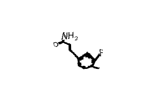 Cc1ccc(CCC(N)=O)cc1F